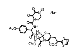 CCN1CCN(C(=O)NC(C(=O)N[C@@]2(NC=O)C(=O)N3C(C(=O)[O-])=C(CSc4nncs4)CS[C@H]32)c2ccc(OC(C)=O)cc2)C(=O)C1=O.[Na+]